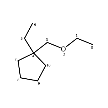 CCOCC1(CC)CCCC1